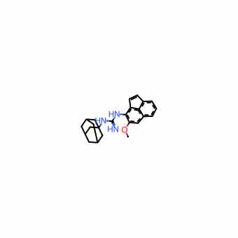 COc1cc2cccc3c2c(c1NC(=N)NC12CC4CC(CC(C4)C1)C2)C=C3